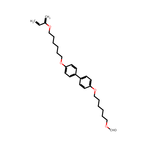 C=CC(=C)OCCCCCCOc1ccc(-c2ccc(OCCCCCCOC=O)cc2)cc1